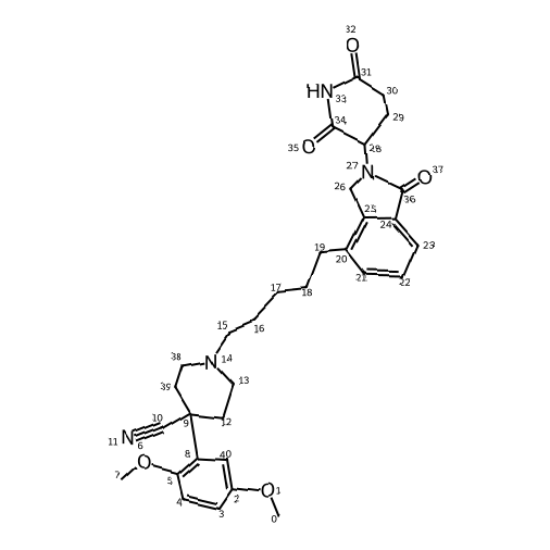 COc1ccc(OC)c(C2(C#N)CCN(CCCCCc3cccc4c3CN(C3CCC(=O)NC3=O)C4=O)CC2)c1